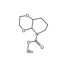 CC(C)(C)OC(=O)N1CCCC2OCCOC21